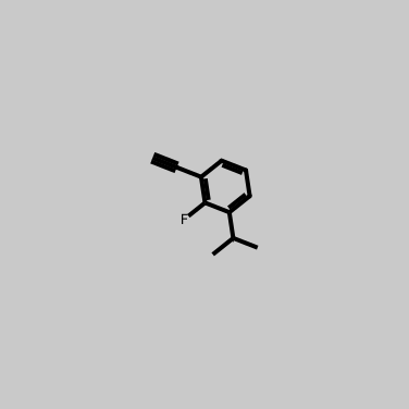 C#Cc1cccc([C](C)C)c1F